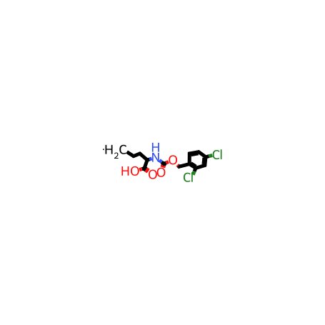 [CH2]CCC(NC(=O)OCc1ccc(Cl)cc1Cl)C(=O)O